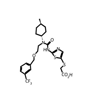 C[C@H]1CC[C@H](N(CCOCc2cccc(C(F)(F)F)c2)C(=O)Nc2ncc(SCC(=O)O)s2)CC1